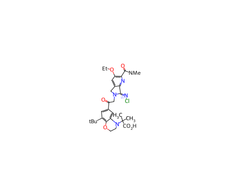 CCOc1cc2c(nc1C(=O)NC)/C(=N/Cl)N(CC(=O)c1cc3c(c(C(C)(C)C)c1)OCCN3C(C)(C)C(=O)O)C2